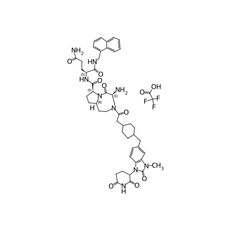 Cn1c(=O)n(C2CCC(=O)NC2=O)c2ccc(CC3CCC(CC(=O)N4CC[C@H]5CC[C@@H](C(=O)N[C@@H](CCC(N)=O)C(=O)NCc6cccc7ccccc67)N5C(=O)[C@@H](N)C4)CC3)cc21.O=C(O)C(F)(F)F